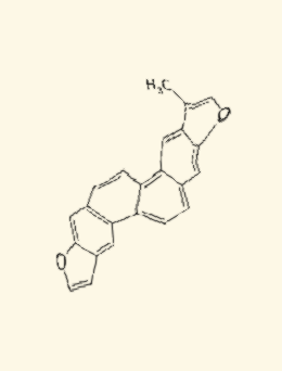 Cc1coc2cc3ccc4c5cc6ccoc6cc5ccc4c3cc12